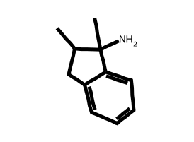 CC1Cc2ccccc2C1(C)N